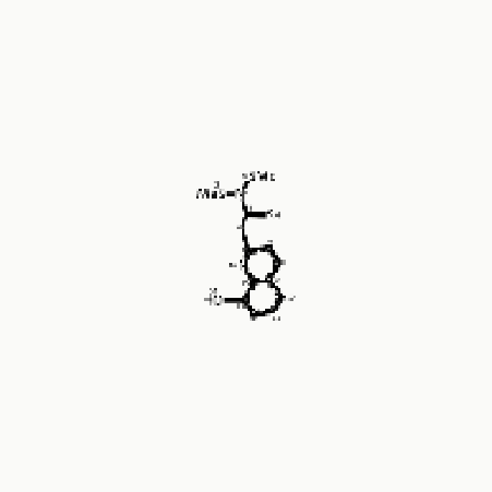 CSN(SC)C(=S)Cc1ccc2cccc(O)c2n1